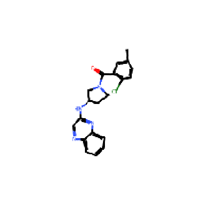 Cc1ccc(Cl)c(C(=O)N2CC[C@@H](Nc3cnc4ccccc4n3)C2)c1